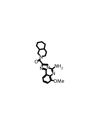 COc1cccc2c1nc(N)n1cc(C(=O)N3CCC4CCCCC4C3)nc21